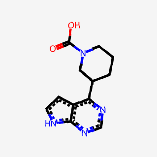 O=C(O)N1CCCC(c2ncnc3[nH]ccc23)C1